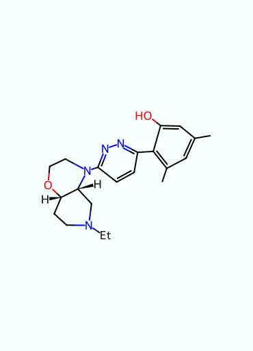 CCN1CC[C@@H]2OCCN(c3ccc(-c4c(C)cc(C)cc4O)nn3)[C@@H]2C1